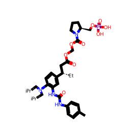 CC[C@@H](CC(=O)OCOC(=O)N1CCC[C@H]1COP(=O)(O)O)c1ccc(N(CC(C)C)CC(C)C)c(NC(=O)Nc2ccc(C)cc2)c1